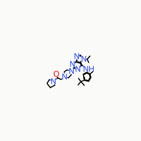 Cc1ccc(C(C)(C)C)cc1Nc1nc(N2CCN(CC(=O)N3CCCC3)CC2)nc2ncn(C(C)C)c12